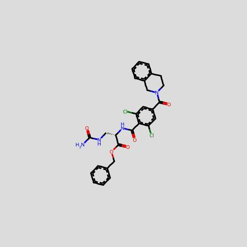 NC(=O)NC[C@H](NC(=O)c1c(Cl)cc(C(=O)N2CCc3ccccc3C2)cc1Cl)C(=O)OCc1ccccc1